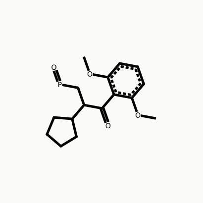 COc1cccc(OC)c1C(=O)C(CP=O)C1CCCC1